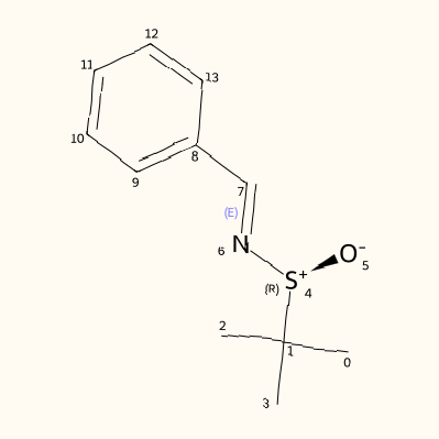 CC(C)(C)[S@+]([O-])/N=C/c1ccccc1